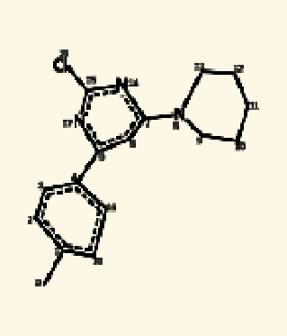 Cc1ccc(-c2cc(N3CCCCC3)nc(Cl)n2)cc1